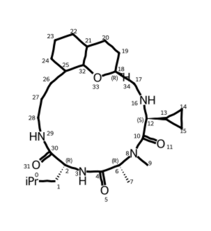 CC(C)C[C@H]1NC(=O)[C@@H](C)N(C)C(=O)[C@H](C2CC2)NC[C@H]2CCC3CCCC(CCCNC1=O)C3O2